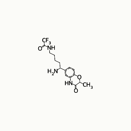 CC1Oc2ccc(C(N)CCCCNC(=O)C(F)(F)F)cc2NC1=O